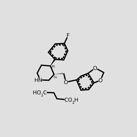 Fc1ccc([C@@H]2CCNC[C@H]2COc2ccc3c(c2)OCO3)cc1.O=C(O)CCC(=O)O